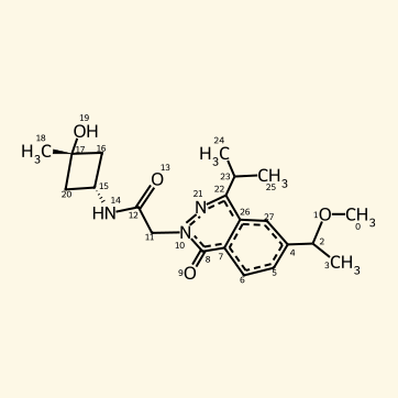 COC(C)c1ccc2c(=O)n(CC(=O)N[C@H]3C[C@@](C)(O)C3)nc(C(C)C)c2c1